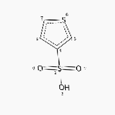 O=S(=O)(O)c1[c]s[c]c1